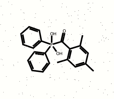 Cc1cc(C)c(C(=O)P(O)(O)(c2ccccc2)c2ccccc2)c(C)c1